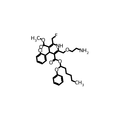 CCCCCC(OC(=O)C1=C(COCCN)NC(CF)=C(C(=O)OC)C1c1ccccc1Cl)Oc1ccccc1